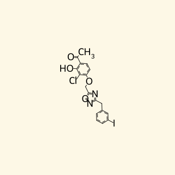 CC(=O)c1ccc(OCc2nc(Cc3cccc(I)c3)no2)c(Cl)c1O